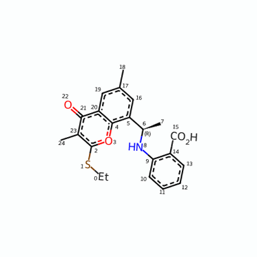 CCSc1oc2c([C@@H](C)Nc3ccccc3C(=O)O)cc(C)cc2c(=O)c1C